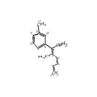 C=C/C=N\C(C)=C(/N)c1cccc(C)c1